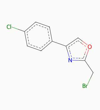 Clc1ccc(-c2coc(CBr)n2)cc1